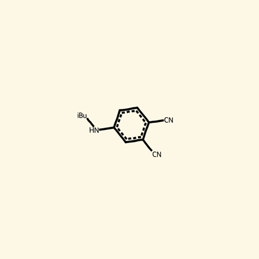 CCC(C)Nc1ccc(C#N)c(C#N)c1